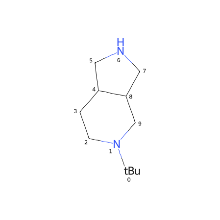 CC(C)(C)N1CCC2CNCC2C1